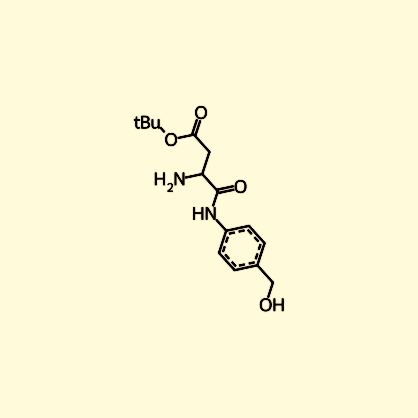 CC(C)(C)OC(=O)CC(N)C(=O)Nc1ccc(CO)cc1